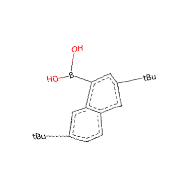 CC(C)(C)c1cc(B(O)O)c2cc(C(C)(C)C)ccc2c1